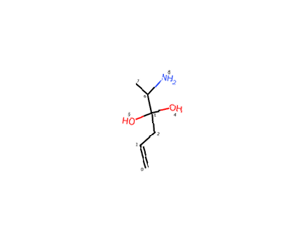 C=CCC(O)(O)C(C)N